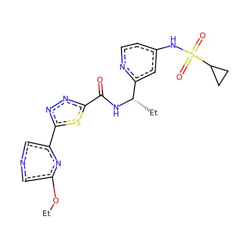 CCOc1cncc(-c2nnc(C(=O)N[C@@H](CC)c3cc(NS(=O)(=O)C4CC4)ccn3)s2)n1